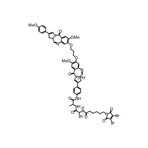 COc1ccc(C2=CN3C(=O)c4cc(OC)c(OCCCOc5cc6c(cc5OC)C(=O)N5C=C(c7ccc(NC(=O)C(C)NC(=O)C(NC(=O)CCCCCN8C(=O)C(Br)=C(Br)C8=O)C(C)C)cc7)C[C@H]5C=N6)cc4N=CC3C2)cc1